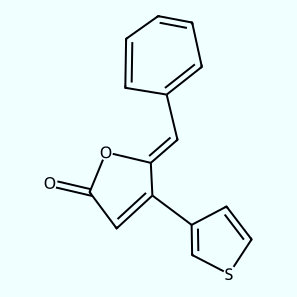 O=C1C=C(c2ccsc2)C(=Cc2ccccc2)O1